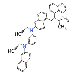 C#CCN(c1cccc(N(CC#C)c2ccc3c(CC(c4cccc5ccccc45)C(C)C)cccc3c2)c1)c1ccc2ccccc2c1